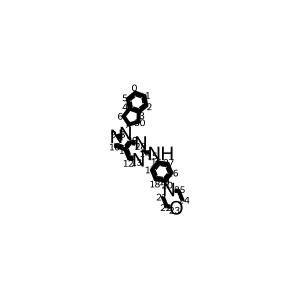 c1ccc2c(c1)CC(n1ncc3cnc(Nc4ccc(N5CCOCC5)cc4)nc31)C2